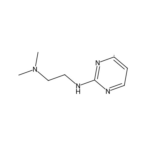 CN(C)CCNc1n[c]ccn1